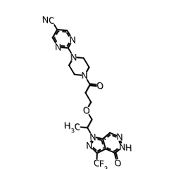 CC(COCCC(=O)N1CCN(c2ncc(C#N)cn2)CC1)n1nc(C(F)(F)F)c2c(=O)[nH]ncc21